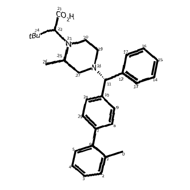 Cc1ccccc1-c1ccc([C@@H](c2ccccc2)N2CCN(C(C(=O)O)C(C)(C)C)C(C)C2)cc1